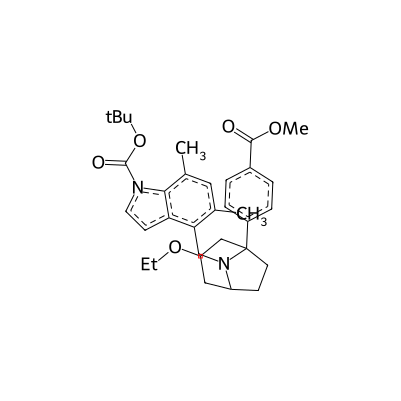 CCOC1CC2CCC(c3ccc(C(=O)OC)cc3)(C1)N2Cc1c(C)cc(C)c2c1ccn2C(=O)OC(C)(C)C